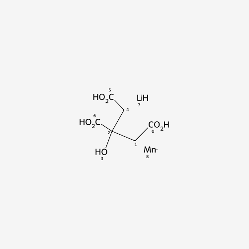 O=C(O)CC(O)(CC(=O)O)C(=O)O.[LiH].[Mn]